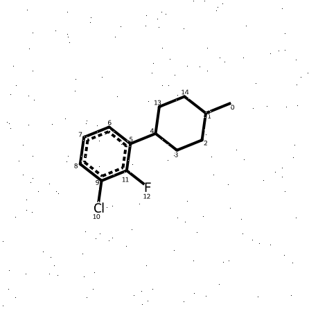 CC1CCC(c2cccc(Cl)c2F)CC1